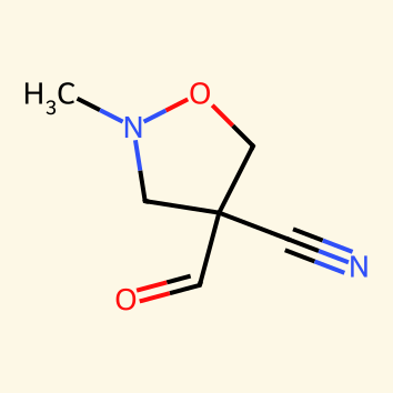 CN1CC(C#N)(C=O)CO1